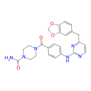 NC(=O)N1CCN(C(=O)c2ccc(Nc3nccc([CH]c4ccc5c(c4)OCO5)n3)cc2)CC1